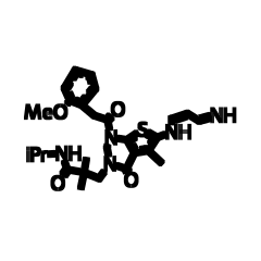 COc1ccccc1CC(=O)N1CN(CC(C)(C)C(=O)NC(C)C)C(=O)c2c1sc(N/C=C\C=N)c2C